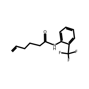 C=CCCCC(=O)Nc1ccccc1C(F)(F)F